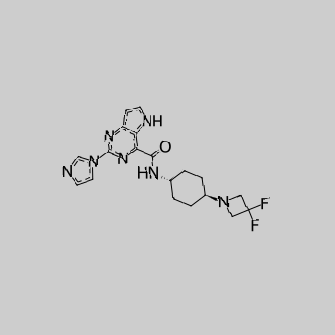 O=C(N[C@H]1CC[C@H](N2CC(F)(F)C2)CC1)c1nc(-n2ccnc2)nc2cc[nH]c12